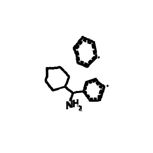 NC(c1cc[c]cc1)C1CCCCC1.[c]1ccccc1